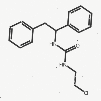 O=C(NCCCl)NC(Cc1ccccc1)c1ccccc1